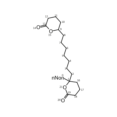 CCCCCCCCCC1(CCCCCCCC2CCCC(=O)O2)CCCC(=O)O1